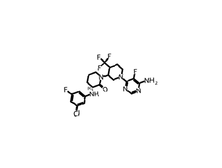 Nc1ncnc(N2CCC(C(F)(F)F)C(N3CCC[C@@H](Nc4cc(F)cc(Cl)c4)C3=O)C2)c1F